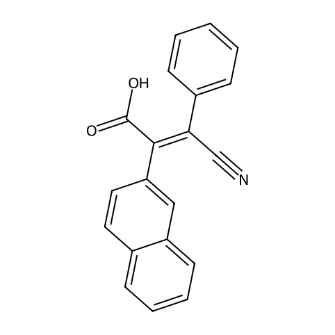 N#CC(=C(C(=O)O)c1ccc2ccccc2c1)c1ccccc1